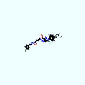 O=C(CCCn1ncc2c(Cl)n(-c3ccc(C(F)(F)F)cc3)nc2c1=O)NCCc1ccc(F)cc1